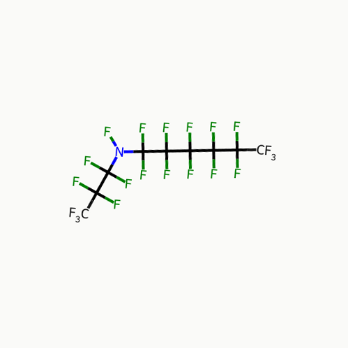 FN(C(F)(F)C(F)(F)C(F)(F)F)C(F)(F)C(F)(F)C(F)(F)C(F)(F)C(F)(F)C(F)(F)F